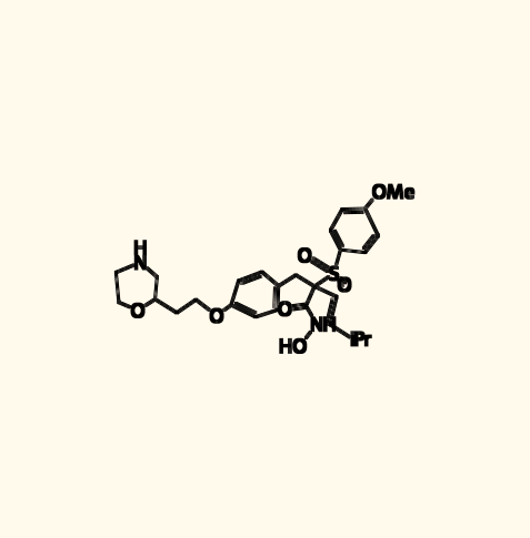 COc1ccc(S(=O)(=O)C(C=CC(C)C)(Cc2ccc(OCCC3CNCCO3)cc2)C(=O)NO)cc1